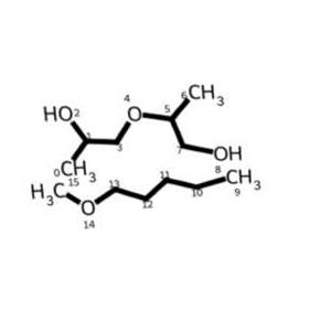 CC(O)COC(C)CO.CCCCCOC